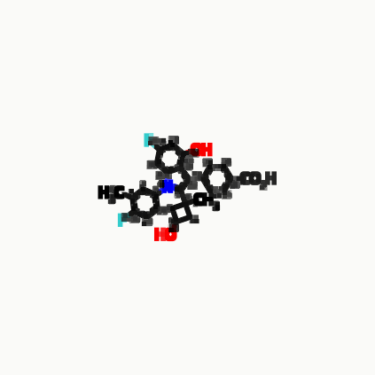 Cc1cc(-n2c(C3(C)CC(O)C3)c(-c3ccc(C(=O)O)cc3)c3c(O)cc(F)cc32)ccc1F